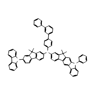 CC1(C)c2cc(N(c3ccc(-c4cccc(-c5ccccc5)c4)cc3)c3ccc4c(c3)C(C)(C)c3cc5c(cc3-4)c3ccccc3n5-c3ccccc3)ccc2-c2ccc(-n3c4ccccc4c4ccccc43)cc21